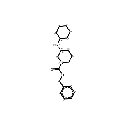 O=C(OCc1ccccc1)N1CCC[C@@H](NC2CCCCC2)C1